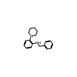 [c]1cccc(N2CCCCC2)c1NCc1ccccc1